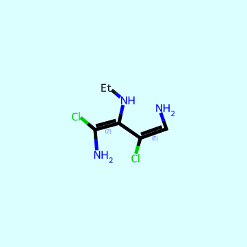 CCNC(=C(/N)Cl)/C(Cl)=C\N